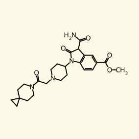 COC(=O)c1ccc2c(c1)C(C(N)=O)C(=O)N2C1CCN(CC(=O)N2CCC3(CC2)CC3)CC1